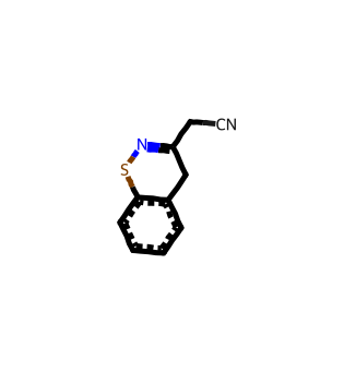 N#CCC1=NSc2ccccc2C1